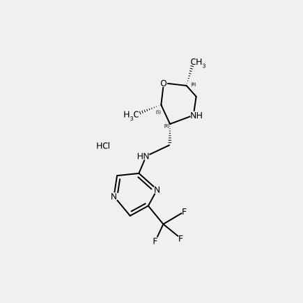 C[C@@H]1CN[C@H](CNc2cncc(C(F)(F)F)n2)[C@H](C)O1.Cl